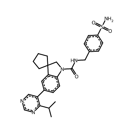 CC(C)c1ncncc1-c1ccc2c(c1)C1(CCCC1)CN2C(=O)NCc1ccc(S(N)(=O)=O)cc1